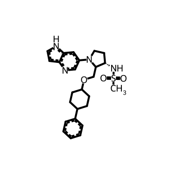 CS(=O)(=O)N[C@H]1CCN(c2cnc3cc[nH]c3c2)C1COC1CCC(c2ccccc2)CC1